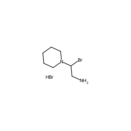 Br.NCC(Br)N1CCCCC1